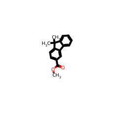 COC(=O)c1ccc2c(c1)-c1ccccc1C2(C)C